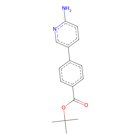 CC(C)(C)OC(=O)c1ccc(-c2ccc(N)nc2)cc1